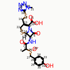 CC(C(=O)NC1C(=O)N2C(C(=O)O)=C(CSc3nnnn3C)CS[C@@H]12)[S+]([O-])Cc1ccc(O)cc1